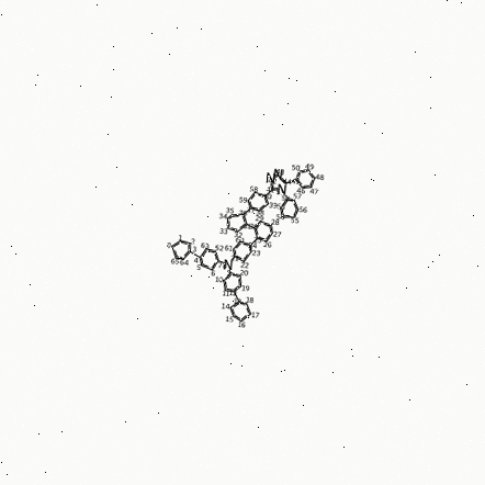 c1ccc(-c2ccc(N(c3ccc(-c4ccccc4)cc3)c3ccc(-c4ccccc4-c4ccccc4-c4ccc(-c5nnc(-c6ccccc6)n5-c5ccccc5)cc4)cc3)cc2)cc1